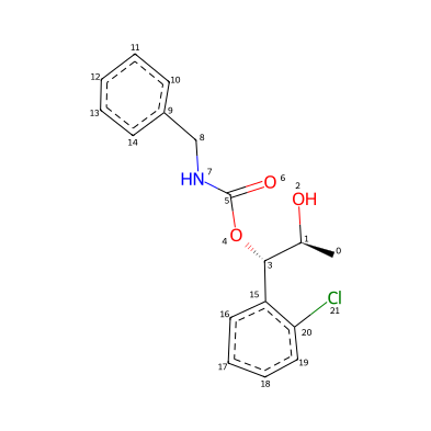 C[C@H](O)[C@@H](OC(=O)NCc1ccccc1)c1ccccc1Cl